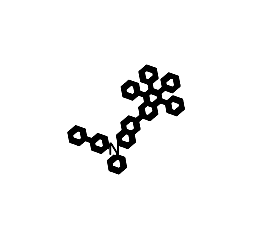 c1ccc(-c2ccc(N(c3ccccc3)c3ccc4cc(-c5ccc6c(-c7ccccc7)c(-c7ccccc7)c(-c7ccccc7)c(-c7ccccc7)c6c5)ccc4c3)cc2)cc1